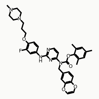 Cc1cc(C)c(OC(=O)N(Cc2ccc3c(c2)OC=CO3)c2ccnc(Nc3ccc(OCCCN4CCN(C)CC4)c(F)c3)n2)c(C)c1